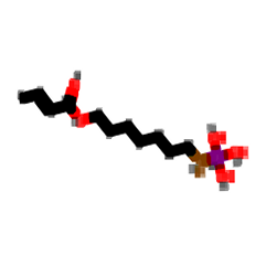 CC=CC(=O)OCCCCCCC[SH]=P(O)(O)O